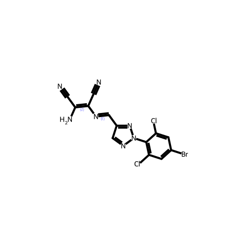 N#C/C(N)=C(C#N)/N=C/c1cnn(-c2c(Cl)cc(Br)cc2Cl)n1